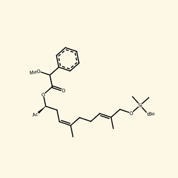 COC(C(=O)O[C@@H](C/C=C(/C)CC/C=C(\C)CO[Si](C)(C)C(C)(C)C)C(C)=O)c1ccccc1